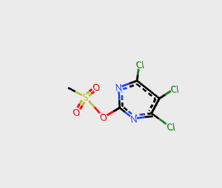 CS(=O)(=O)Oc1nc(Cl)c(Cl)c(Cl)n1